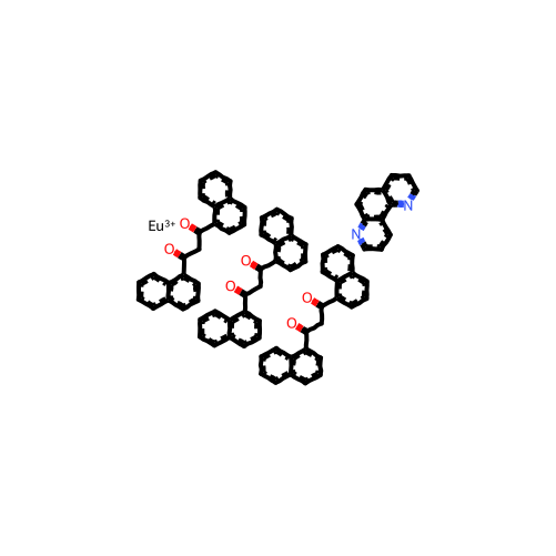 O=C(CC(=O)c1cccc2ccccc12)c1cccc2ccccc12.O=C(CC(=O)c1cccc2ccccc12)c1cccc2ccccc12.O=C(CC(=O)c1cccc2ccccc12)c1cccc2ccccc12.[Eu+3].c1cnc2c(c1)ccc1ncccc12